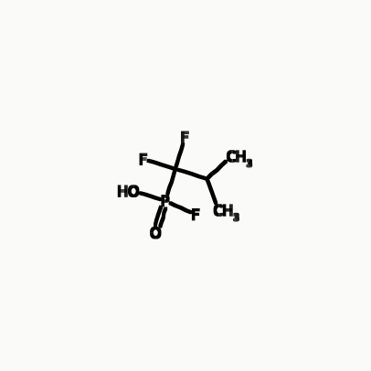 CC(C)C(F)(F)P(=O)(O)F